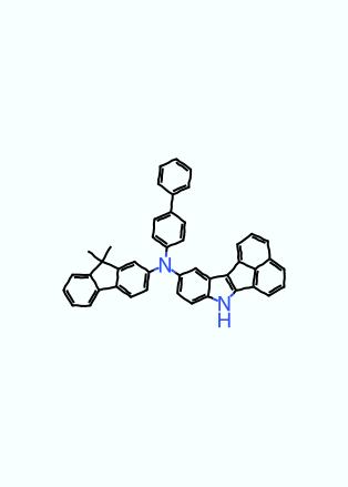 CC1(C)c2ccccc2-c2ccc(N(c3ccc(-c4ccccc4)cc3)c3ccc4[nH]c5c(c4c3)-c3cccc4cccc-5c34)cc21